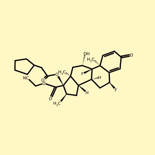 C[C@@H]1C[C@H]2[C@@H]3C[C@H](F)C4=CC(=O)C=C[C@]4(C)[C@@]3(F)[C@@H](O)C[C@]2(C)[C@@]1(OC(=O)CC1CCCC1)C(=O)OCC#N